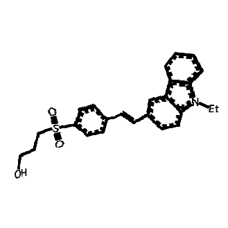 CCn1c2ccccc2c2cc(C=Cc3ccc(S(=O)(=O)CCCO)cc3)ccc21